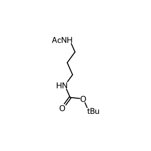 CC(=O)NCCCNC(=O)OC(C)(C)C